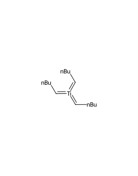 CCCC[CH]=[Ti](=[CH]CCCC)=[CH]CCCC